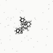 Cc1ccc(S(=O)(=O)N2C[C@@H](CS(=O)(=O)c3ccccc3)N(C)C3CCCCC32)cc1